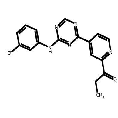 CCC(=O)c1cc(-c2ncnc(Nc3cccc(Cl)c3)n2)ccn1